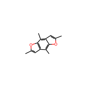 Cc1cc2c(C)c3oc(C)cc3c(C)c2o1